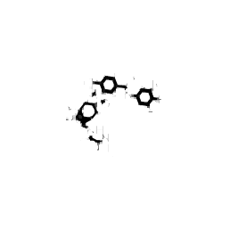 C[C@H](N)C(=O)NC[C@@]1(O)C2C[C@@H](S(=O)(=O)c3cc(C(=O)Nc4cc(F)c(F)c(F)c4)ccc3Cl)C[C@@H]1[C@@H](C)C2